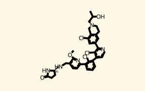 COc1nc(-c2cccc(-c3ccnc(-c4cc(Cl)c5c(c4)CCN(CC(C)O)C5)c3Cl)c2Cl)ccc1CNC[C@H]1CCC(=O)N1